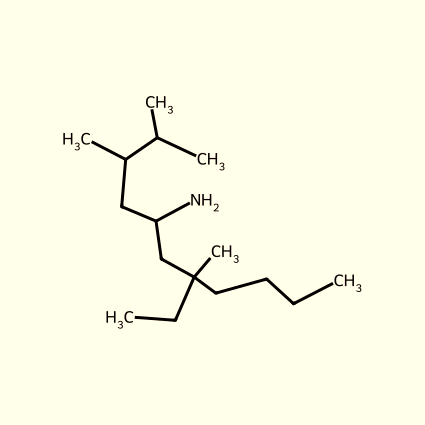 CCCCC(C)(CC)CC(N)CC(C)C(C)C